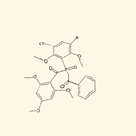 COc1cc(OC)c(C(=O)P(=O)(C(=O)c2ccccc2)c2c(OC)c(Cl)cc(Br)c2OC)c(OC)c1